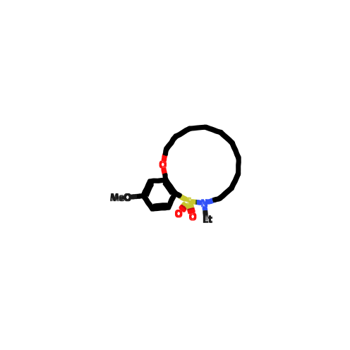 CCN1CCCCCCCCCCOc2cc(OC)ccc2S1(=O)=O